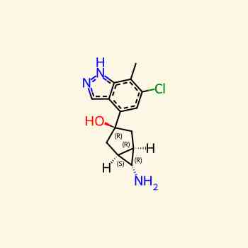 Cc1c(Cl)cc([C@@]2(O)C[C@@H]3[C@@H](N)[C@@H]3C2)c2cn[nH]c12